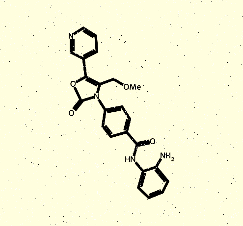 COCc1c(-c2cccnc2)oc(=O)n1-c1ccc(C(=O)Nc2ccccc2N)cc1